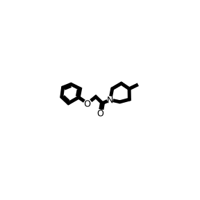 CC1CCN(C(=O)COc2ccccc2)CC1